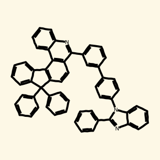 c1ccc(-c2nc3ccccc3n2-c2ccc(-c3cccc(-c4nc5ccccc5c5c6c(ccc45)C(c4ccccc4)(c4ccccc4)c4ccccc4-6)c3)cc2)cc1